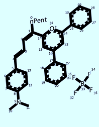 CCCCCC(=CC=Cc1ccc(N(C)C)cc1)c1cc(-c2ccccc2)cc(-c2ccccc2)[o+]1.F[B-](F)(F)F